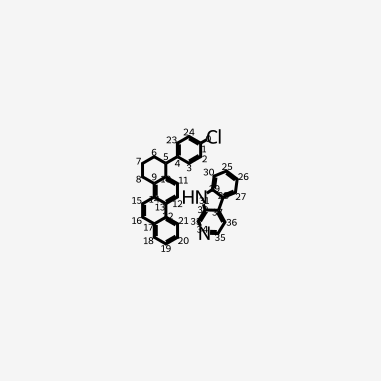 Clc1ccc(C2CCCc3c2ccc2c3ccc3ccccc32)cc1.c1ccc2c(c1)[nH]c1cnccc12